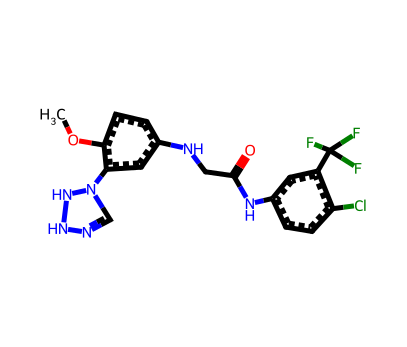 COc1ccc(NCC(=O)Nc2ccc(Cl)c(C(F)(F)F)c2)cc1N1C=NNN1